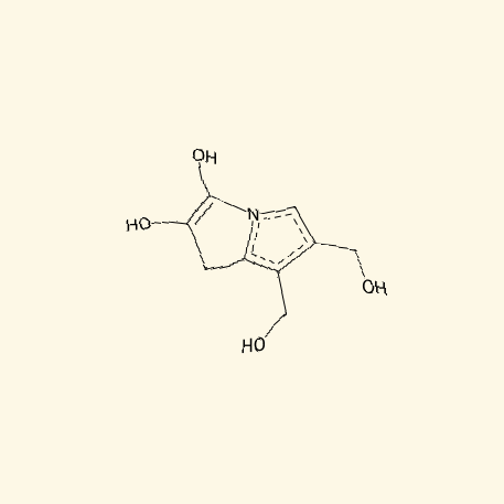 OCc1cn2c(c1CO)CC(O)=C2O